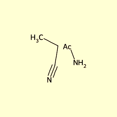 CC(N)=O.CCC#N